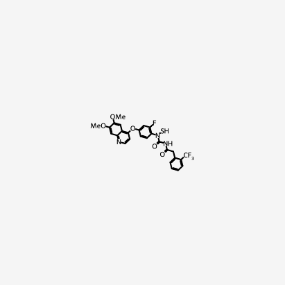 COc1cc2nccc(Oc3ccc(N(S)C(=O)NC(=O)Cc4ccccc4C(F)(F)F)c(F)c3)c2cc1OC